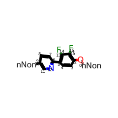 CCCCCCCCCOc1ccc(-c2ccc(CCCCCCCCC)cn2)c(F)c1F